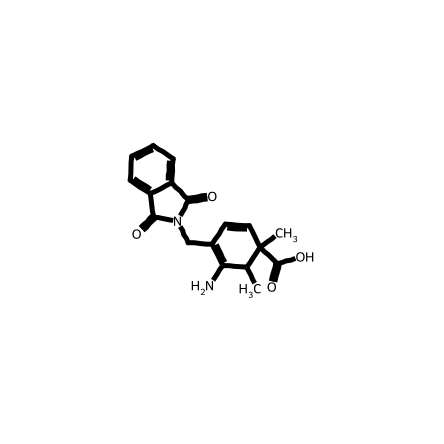 CC1C(N)=C(CN2C(=O)c3ccccc3C2=O)C=CC1(C)C(=O)O